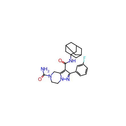 NC(=O)N1CCn2nc(-c3cccc(F)c3)c(C(=O)NC34CC5CC(CC(C5)C3)C4)c2C1